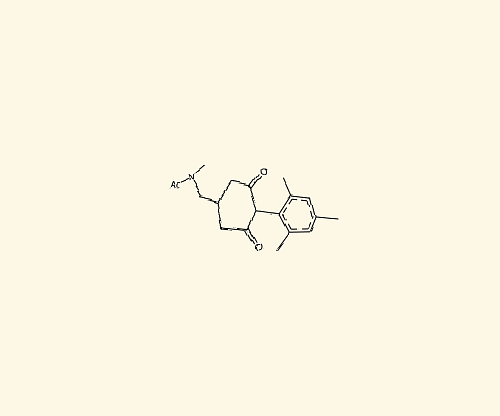 CC(=O)N(C)CC1CC(=O)C(c2c(C)cc(C)cc2C)C(=O)C1